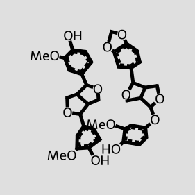 COc1cc(C2OCC3C(c4ccc(O)c(OC)c4)OCC23)ccc1O.COc1cc(OC2OCC3C(c4ccc5c(c4)OCO5)OCC23)ccc1O